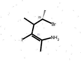 C/C(N)=C(\I)C(C)[C@H](C)Br